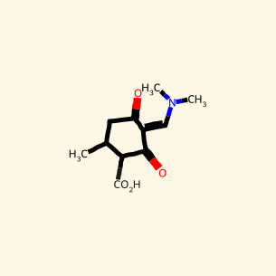 CC1CC(=O)/C(=C\N(C)C)C(=O)C1C(=O)O